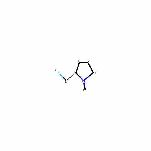 CN1CCC[C@H]1CF